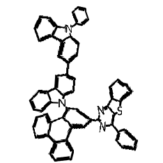 c1ccc(-c2nc(-c3cc(-n4c5ccccc5c5cc(-c6ccc7c(c6)c6ccccc6n7-c6ccccc6)ccc54)c4c5ccccc5c5ccccc5c4c3)nc3c2sc2ccccc23)cc1